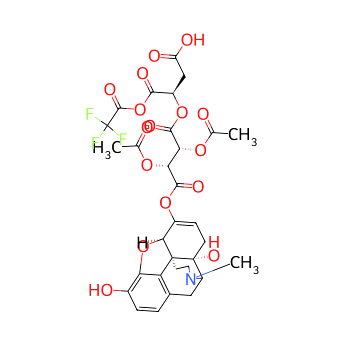 CC(=O)O[C@@H](C(=O)OC1=CC[C@@]2(O)C3Cc4ccc(O)c5c4[C@@]2(CCN3C)[C@H]1O5)[C@@H](OC(C)=O)C(=O)O[C@H](CC(=O)O)C(=O)OC(=O)C(F)(F)F